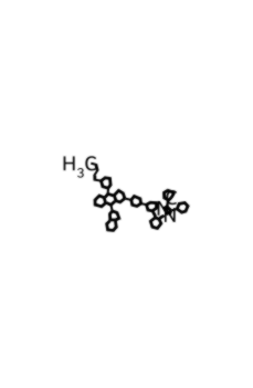 C/C=C\C=C/c1cccc(-c2c3ccccc3c(-c3ccc4ccccc4c3)c3cc(-c4ccc(-c5ccc6c(c5)c5ccccc5c5nc(-c7ccccc7)c(-c7ccccc7)n65)cc4)ccc23)c1